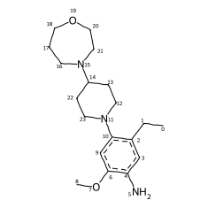 CCc1cc(N)c(OC)cc1N1CCC(N2CCCOCC2)CC1